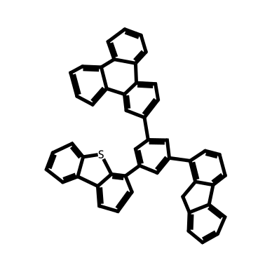 c1ccc2c(c1)Cc1c(-c3cc(-c4ccc5c6ccccc6c6ccccc6c5c4)cc(-c4cccc5c4sc4ccccc45)c3)cccc1-2